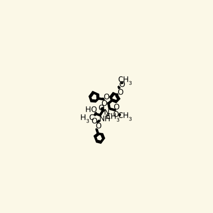 COCOc1ccc(C(OC(=O)c2ccccc2)C(C(=O)OC)N(C)C(=O)[C@@H](NC(=O)OCc2ccccc2)C(C)O)cc1